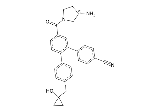 N#Cc1ccc(-c2cc(C(=O)N3CC[C@H](N)C3)ccc2-c2ccc(CC3(O)CC3)cc2)cc1